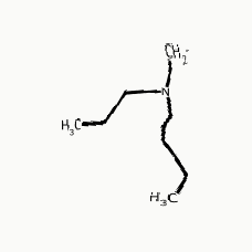 [CH2]N(CCC)CCCC